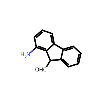 Nc1cccc2c1C(C=O)c1ccccc1-2